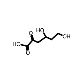 O=C(O)C(=O)CC(O)CCO